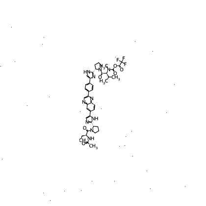 CC[C@H](NC(C)=O)C(=O)N1CCC[C@H]1c1ncc(-c2ccc3nc(-c4ccc(-c5c[nH]c([C@@H]6CCCN6C(=O)[C@H](C(C)C)N(C)C(=O)OC(=O)C(F)(F)F)n5)cc4)cnc3c2)[nH]1